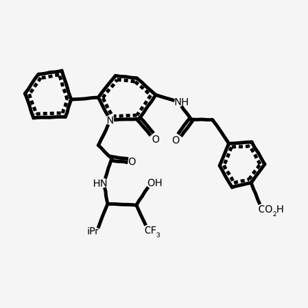 CC(C)C(NC(=O)Cn1c(-c2ccccc2)ccc(NC(=O)Cc2ccc(C(=O)O)cc2)c1=O)C(O)C(F)(F)F